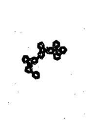 C1=CC2=C(CC1)C(C1=CC=C(n3c4ccccc4c4cc(-c5ccc6c(c5)c5ccccc5n6-c5cccc(-c6ccccc6)c5)ccc43)CC1)(c1ccccc1)C1=C2C=CCC1